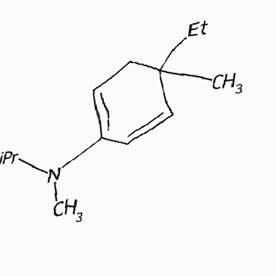 CCC1(C)C=CC(N(C)C(C)C)=CC1